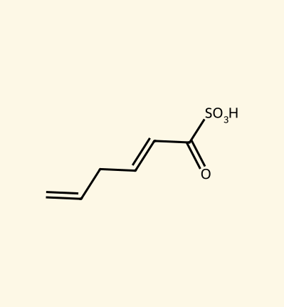 C=CCC=CC(=O)S(=O)(=O)O